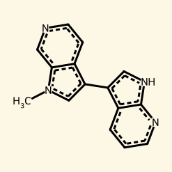 Cn1cc(-c2c[nH]c3ncccc23)c2ccncc21